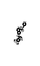 COc1cc2nccc(Oc3ccc4c(C(=O)NCc5ccncc5)cccc4c3)c2cc1OC